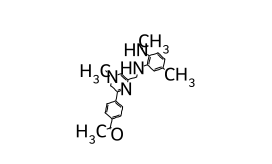 CNc1ccc(C)cc1NCC1=CN(C)CC(c2ccc(C(C)=O)cc2)=N1